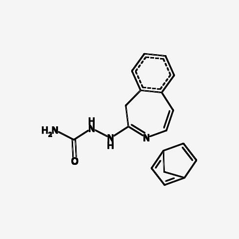 C1=CC2=CC=C1C2.NC(=O)NNC1=NC=Cc2ccccc2C1